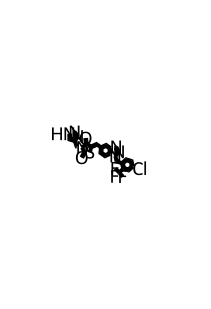 O=C1S/C(=C\c2ccc3c(c2)nnn3Cc2ccc(Cl)cc2C(F)(F)F)C(=O)N1Cc1c[nH]nn1